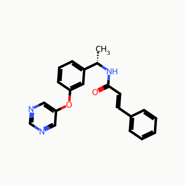 C[C@H](NC(=O)C=Cc1ccccc1)c1cccc(Oc2cncnc2)c1